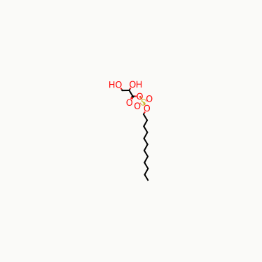 CCCCCCCCCCCCOS(=O)(=O)OC(=O)C(O)CO